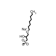 CCCCCCCCOCC(O)CS(=O)(=O)[O-].[Na+]